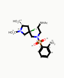 CC(=O)NCCN(C[C@@]1(F)C[C@@H](C(=O)O)N(C(=O)O)C1)S(=O)(=O)c1ccccc1[N+](=O)[O-]